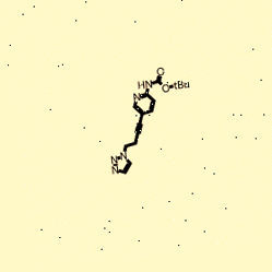 CC(C)(C)OC(=O)Nc1ccc(C#CCCn2ccnn2)cn1